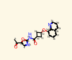 CC(=O)c1cnc(NC(=O)C2CC(Oc3cccc4cccnc34)C2)o1